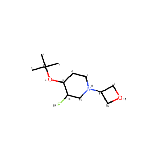 CC(C)(C)OC1CCN(C2COC2)CC1F